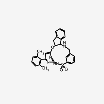 Cc1cccc(C)c1-c1cc2nc(n1)NS(=O)(=O)c1cccc(c1)CNC1c3ccccc3CC1O2